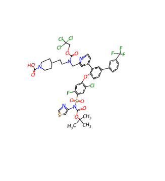 CC(C)(C)OC(=O)N(c1cscn1)S(=O)(=O)c1cc(Cl)c(Oc2ccc(-c3cccc(C(F)(F)F)c3)cc2-c2ccnc(CN(CCC3CCN(C(=O)O)CC3)C(=O)OCC(Cl)(Cl)Cl)c2)cc1F